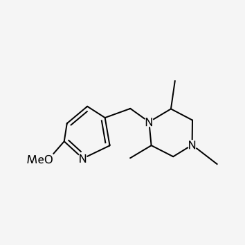 COc1ccc(CN2C(C)CN(C)CC2C)cn1